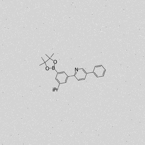 CC(C)c1cc(B2OC(C)(C)C(C)(C)O2)cc(-c2ccc(-c3ccccc3)cn2)c1